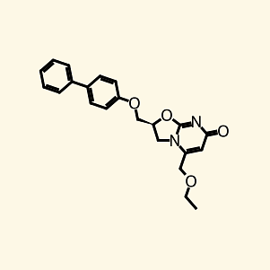 CCOCc1cc(=O)nc2n1C[C@@H](COc1ccc(-c3ccccc3)cc1)O2